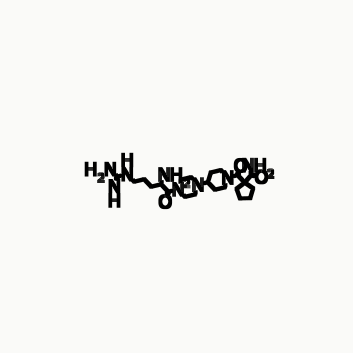 N=C(N)NCCCC(N)C(=O)N1CCN(C2CCN(C(=O)C3(C(N)=O)CCCC3)CC2)CC1